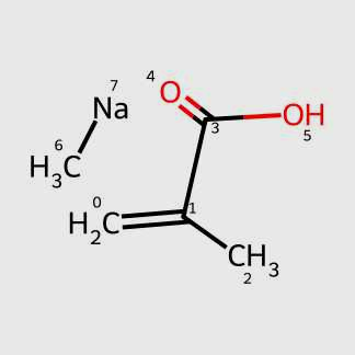 C=C(C)C(=O)O.[CH3][Na]